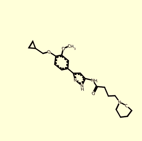 COc1cc(-c2cc(NC(=O)CCCN3CCCCC3)[nH]n2)ccc1OCC1CC1